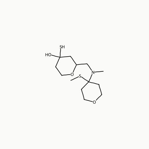 CSC1(N(C)CC2CC(O)(S)CCO2)CCOCC1